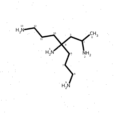 CC(N)CC(N)(CCCN)CCCN